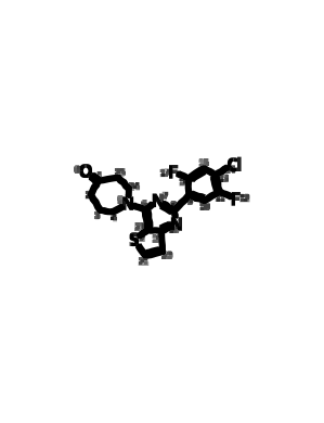 O=C1CCCN(c2nc(-c3cc(F)c(Cl)cc3F)nc3ccsc23)CC1